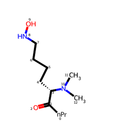 CCCC(=O)[C@H](CCCCNO)N(C)C